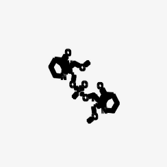 COC[C@]1(COP(C)(=O)OC[C@@]2(COC)C(=O)C3CCN2[C@H](C)C3)C(=O)C2CCN1[C@H](C)C2